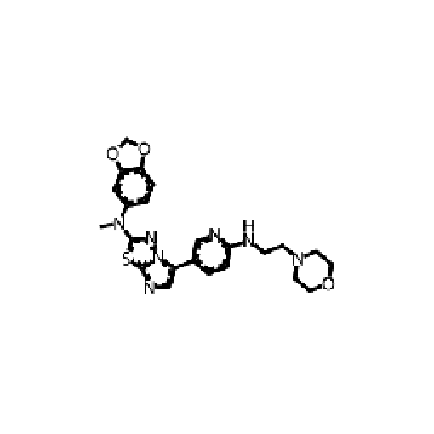 CN(c1ccc2c(c1)OCO2)c1nn2c(-c3ccc(NCCN4CCOCC4)nc3)cnc2s1